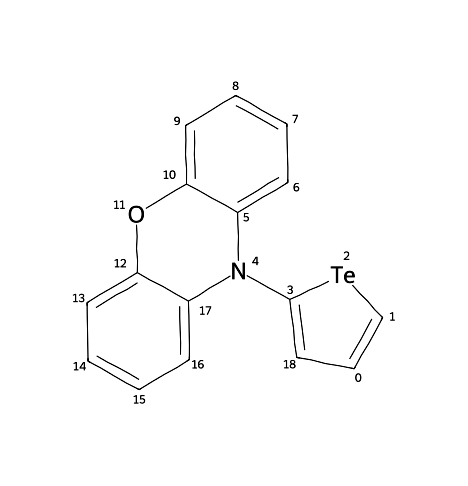 c1c[te]c(N2c3ccccc3Oc3ccccc32)c1